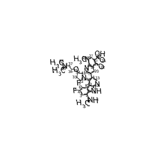 CNc1cc(F)c(F)c2c1[nH]c1ncc(-c3cnc4c(c3)c(=O)c(C(=O)O)cn4C)c(N3CCC(OCCN(C)C)C3)c12